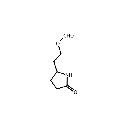 O=COCCC1CCC(=O)N1